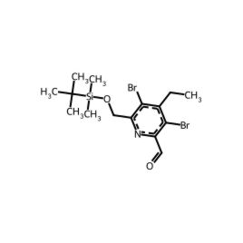 CCc1c(Br)c(C=O)nc(CO[Si](C)(C)C(C)(C)C)c1Br